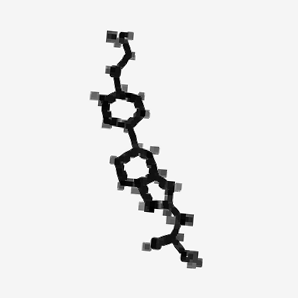 CCOc1ccc(-c2ccc3nc(NC(C)=O)sc3c2)cn1